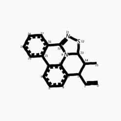 C=CC1c2cccc3c2N2C(=NSC2C1C)c1ccccc1-3